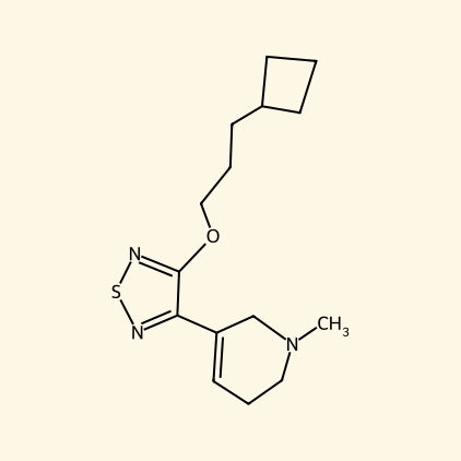 CN1CCC=C(c2nsnc2OCCCC2CCC2)C1